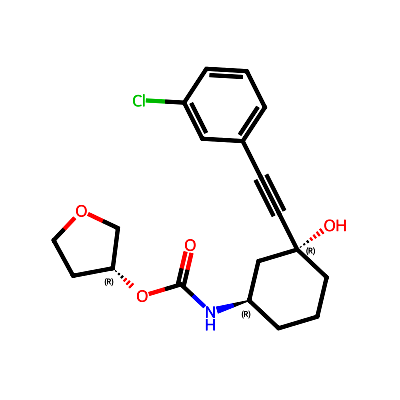 O=C(N[C@@H]1CCC[C@](O)(C#Cc2cccc(Cl)c2)C1)O[C@@H]1CCOC1